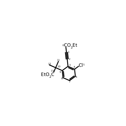 CCOC(=O)C#Cc1c(Cl)cccc1C(C)(C)C(=O)OCC